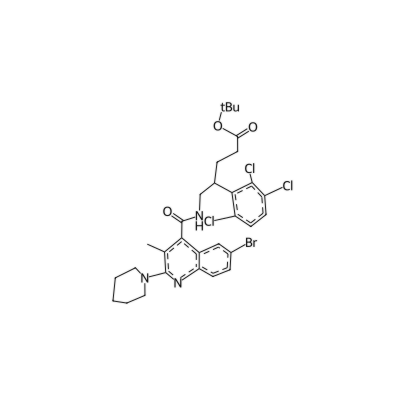 Cc1c(N2CCCCC2)nc2ccc(Br)cc2c1C(=O)NCC(CCC(=O)OC(C)(C)C)c1c(Cl)ccc(Cl)c1Cl